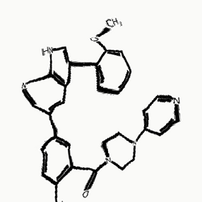 COc1ccccc1-c1c[nH]c2ncc(-c3ccc(O)c(C(=O)N4CCN(c5ccncc5)CC4)c3)cc12